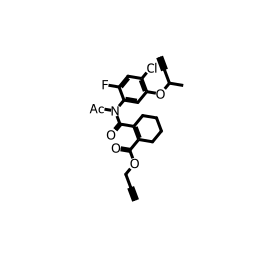 C#CCOC(=O)C1=C(C(=O)N(C(C)=O)c2cc(OC(C)C#C)c(Cl)cc2F)CCCC1